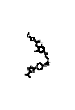 COC1CN(C(=O)Cc2c(F)cc(OCC[C@@H]3C[C@@H]3C3CCN(c4nc(C(C)C)no4)CC3)cc2F)C1